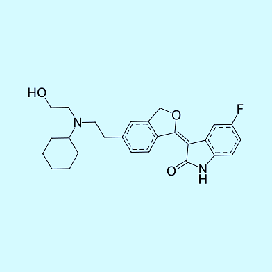 O=C1Nc2ccc(F)cc2C1=C1OCc2cc(CCN(CCO)C3CCCCC3)ccc21